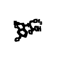 CCN(C(=O)O)/C(=C/C#N)c1ccc(Cl)cc1Cl